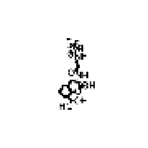 O=C(CCNS(=O)(=O)C(F)(F)F)N[C@H]1Cc2cccc(C(O)O)c2OB1O